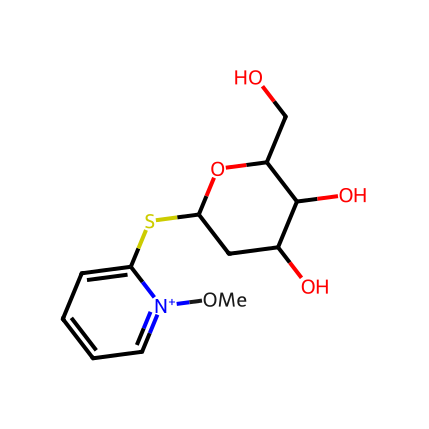 CO[n+]1ccccc1SC1CC(O)C(O)C(CO)O1